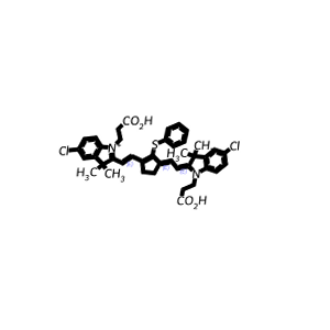 CC1(C)C(/C=C/C2=C(Sc3ccccc3)C(=C/C=C3/N(CCC(=O)O)c4ccc(Cl)cc4C3(C)C)/CC2)=[N+](CCC(=O)O)c2ccc(Cl)cc21